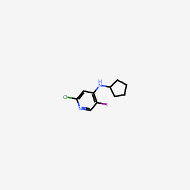 Clc1cc(NC2CCCC2)c(I)cn1